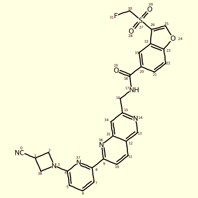 N#CC1CN(c2cccc(-c3ccc4cnc(CNC(=O)c5ccc6occ(S(=O)(=O)CF)c6c5)cc4n3)n2)C1